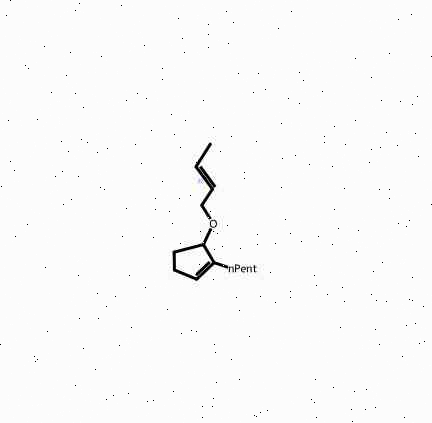 C/C=C/COC1CCC=C1CCCCC